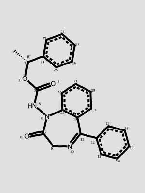 C[C@@H](OC(=O)NN1C(=O)CN=C(c2ccccc2)c2ccccc21)c1ccccc1